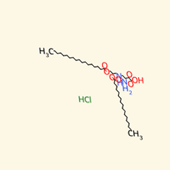 CCCCCCCCCCCCCCCCCC(=O)OCC(CNCC(N)C(=O)C(=O)O)OC(=O)CCCCCCCCCCCCCCCCC.Cl